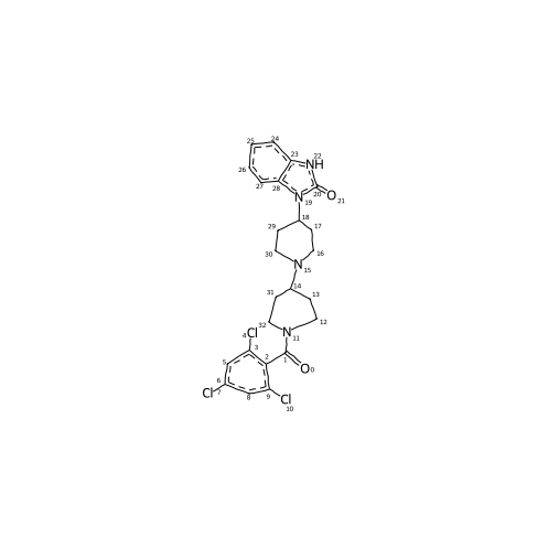 O=C(c1c(Cl)cc(Cl)cc1Cl)N1CCC(N2CCC(n3c(=O)[nH]c4ccccc43)CC2)CC1